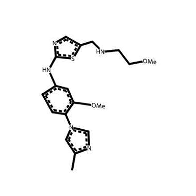 COCCNCc1cnc(Nc2ccc(-n3cnc(C)c3)c(OC)c2)s1